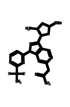 CNC1CC(C)N(c2nn(-c3ccnc(C(C)(F)F)n3)c3cc(CC(N)=O)ncc23)C1